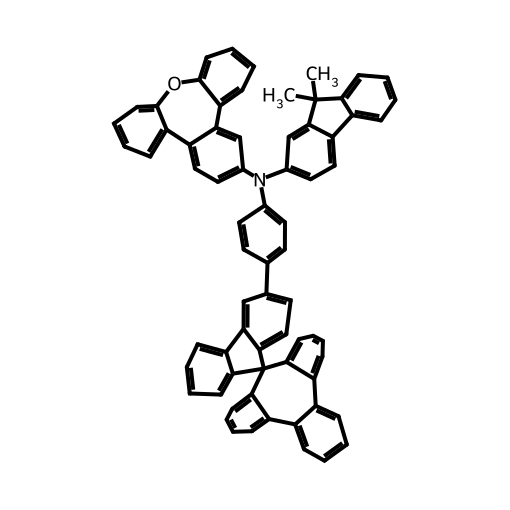 CC1(C)c2ccccc2-c2ccc(N(c3ccc(-c4ccc5c(c4)-c4ccccc4C54c5ccccc5-c5ccccc5-c5ccccc54)cc3)c3ccc4c(c3)-c3ccccc3Oc3ccccc3-4)cc21